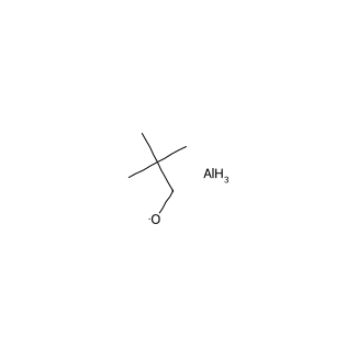 CC(C)(C)C[O].[AlH3]